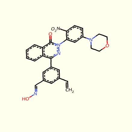 C=Cc1cc(/C=N/O)cc(-c2nn(-c3cc(N4CCOCC4)ccc3[N+](=O)[O-])c(=O)c3ccccc23)c1